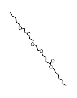 CCCCCCCOC(=O)CCCOCCOCCOCCOCCCCC